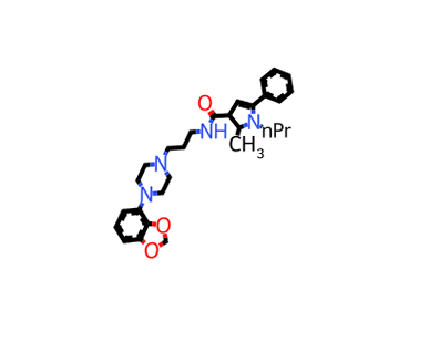 CCCN1C(c2ccccc2)=CC(C(=O)NCCCN2CCN(c3cccc4c3OCO4)CC2)C1C